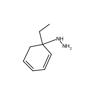 CCC1(NN)C=CC=CC1